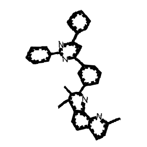 Cc1ccc2ccc3c(C)c(C)c(-c4cccc(-c5cc(-c6ccccc6)nc(-c6ccccc6)n5)c4)nc3c2n1